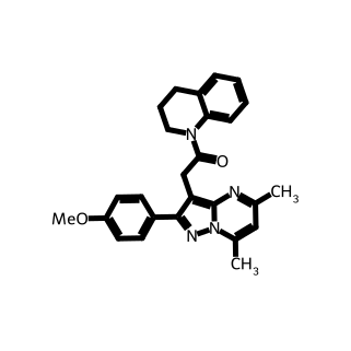 COc1ccc(-c2nn3c(C)cc(C)nc3c2CC(=O)N2CCCc3ccccc32)cc1